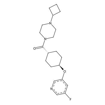 O=C([C@H]1CC[C@H](Oc2cncc(F)c2)CC1)N1CCN(C2CCC2)CC1